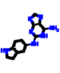 Nc1[nH]c(Nc2ccc3[nH]ccc3c2)nc2ncnc1-2